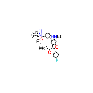 CCNc1cc2oc(-c3ccc(F)cc3)c(C(=O)NC)c2cc1-c1cccc(C(=O)NC(C)(C#N)C2CC2)c1